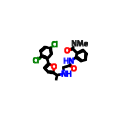 CNC(=O)c1ccccc1NC(=O)CNC(C)c1ccc(-c2cc(Cl)ccc2Cl)o1